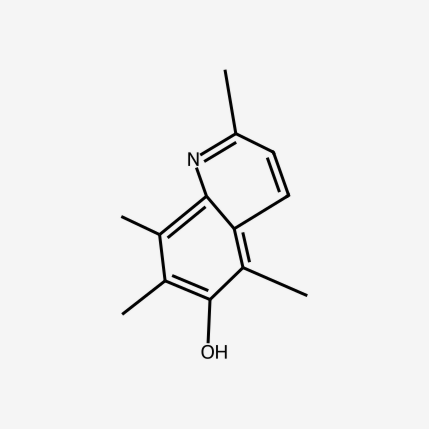 Cc1ccc2c(C)c(O)c(C)c(C)c2n1